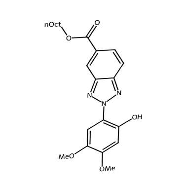 CCCCCCCCOC(=O)c1ccc2nn(-c3cc(OC)c(OC)cc3O)nc2c1